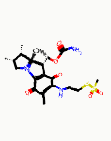 CO[C@@]12[C@H](COC(N)=O)C3=C(C(=O)C(C)=C(NCCSS(C)(=O)=O)C3=O)N1C[C@H](C)[C@@H]2C